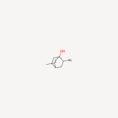 CC(=O)C1CC2CCC1(O)C=C2C